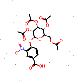 CC(=O)OC[C@H]1O[C@@H](Oc2ccc(C(=O)O)cc2[N+](=O)[O-])[C@H](OC(C)=O)[C@@H](OC(C)=O)[C@@H]1OC(C)=O